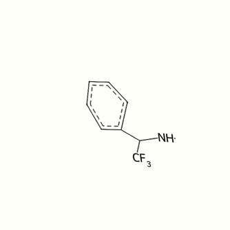 [NH]C(c1ccccc1)C(F)(F)F